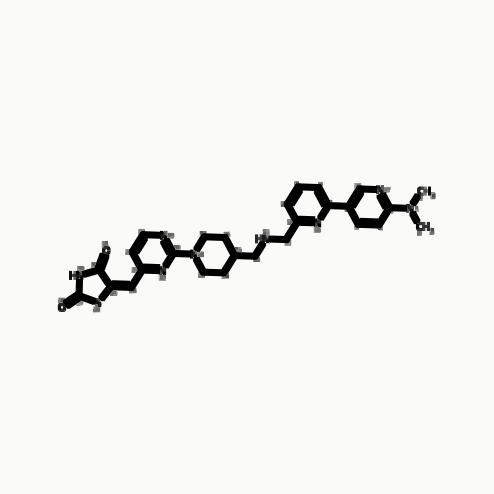 CN(C)c1ccc(-c2cccc(CNCC3CCN(c4nccc(C=C5SC(=O)NC5=O)n4)CC3)n2)cn1